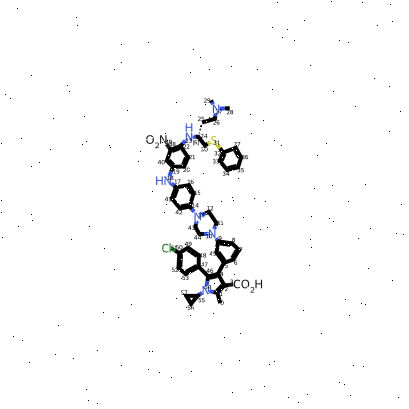 Cc1c(C(=O)O)c(-c2cccc(N3CCN(c4ccc(Nc5ccc(N[C@H](CCN(C)C)CSc6ccccc6)c([N+](=O)[O-])c5)cc4)CC3)c2)c(-c2ccc(Cl)cc2)n1C1CC1